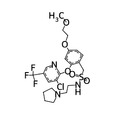 COCCOc1ccc(CS(=O)(=O)NCCN2CCCC2)c(Oc2ncc(C(F)(F)F)cc2Cl)c1